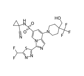 N#CC1(NS(=O)(=O)c2cc(N3CCC(CO)(C(F)(F)F)CC3)c3cnc(-c4nnc(C(F)F)s4)n3c2)CC1